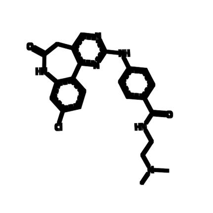 CN(C)CCNC(=O)c1ccc(Nc2ncc3c(n2)-c2ccc(Cl)cc2NC(=O)C3)cc1